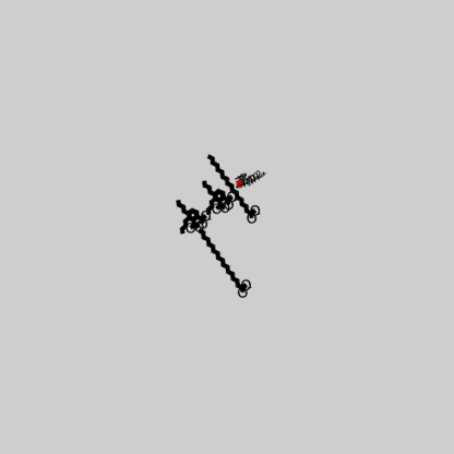 CCCCCCCCCCCCCCCCCC(=O)[O-].CCCCCCCCCCCCCCCCCC(=O)[O-].CCCCc1ccc(C(=O)[O-])c(C(=O)[O-])c1CCCC.CCCCc1ccc(C(=O)[O-])c(C(=O)[O-])c1CCCC.[Zn+2].[Zn+2].[Zn+2]